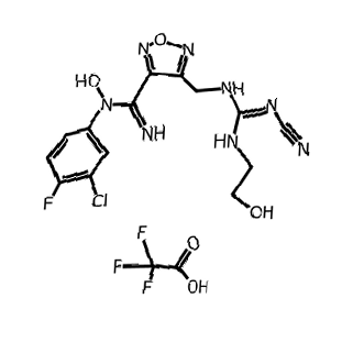 N#C/N=C(\NCCO)NCc1nonc1C(=N)N(O)c1ccc(F)c(Cl)c1.O=C(O)C(F)(F)F